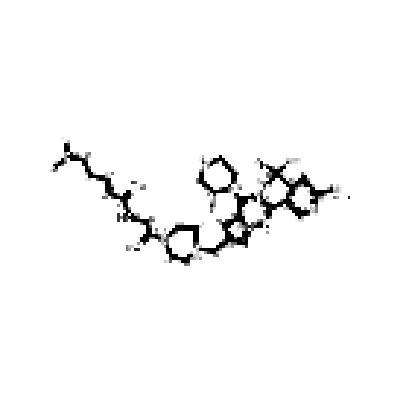 C[C@H]1COCCN1c1nc(-c2cnc(N)cc2C(F)(F)F)nn2cc(CN3CCN(C(=O)CNC(=O)/C=C/CCN(C)C)CC3)cc12